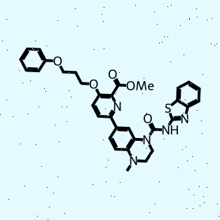 COC(=O)c1nc(-c2ccc3c(c2)N(C(=O)Nc2nc4ccccc4s2)CCN3C)ccc1OCCCOc1ccccc1